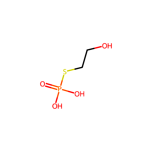 O=P(O)(O)SCCO